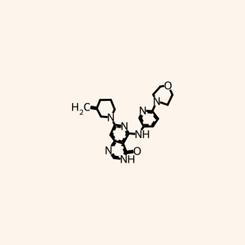 C=C1CCCN(c2cc3nc[nH]c(=O)c3c(Nc3ccc(N4CCOCC4)nc3)n2)C1